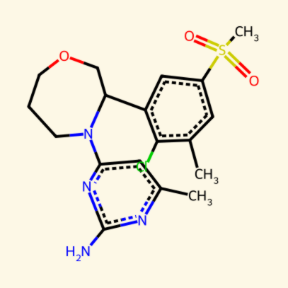 Cc1cc(N2CCCOCC2c2cc(S(C)(=O)=O)cc(C)c2Cl)nc(N)n1